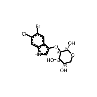 O[C@@H]1[C@@H](Oc2c[nH]c3cc(Cl)c(Br)cc23)[C@H](O)OC[C@@H]1O